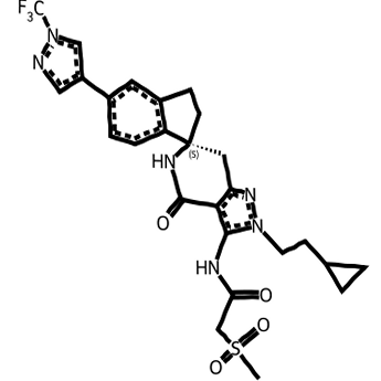 CS(=O)(=O)CC(=O)Nc1c2c(nn1CCC1CC1)C[C@]1(CCc3cc(-c4cnn(C(F)(F)F)c4)ccc31)NC2=O